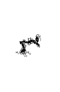 Cc1ccc(-c2cc(C(F)(F)F)nn2-c2ccc(S(=O)(=O)NC(=O)CCC(=O)OC[C@@H]3CCN3/[N+]([O-])=N/OC(C)OC(=O)OC(C)(C)C)cc2)cc1